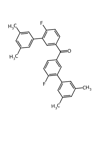 Cc1cc(C)cc(-c2cc(C(=O)c3ccc(F)c(-c4cc(C)cc(C)c4)c3)ccc2F)c1